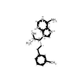 Cc1cccc(CC[C@H]([C@H](C)O)n2cnc3c(N)ncnc32)c1